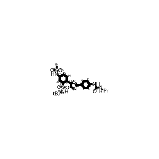 CC(C)NC(=O)Nc1ccc(-c2ncc(-c3ccc(NS(C)(=O)=O)cc3S(=O)(=O)NC(C)(C)C)s2)cc1